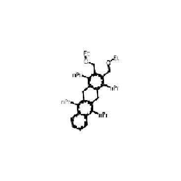 CCCc1c(COCC)c(COCC)c(CCC)c2c1Cc1c(c(CCC)c3ccccc3c1CCC)C2